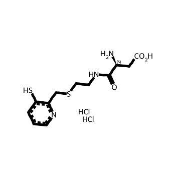 Cl.Cl.N[C@@H](CC(=O)O)C(=O)NCCSCc1ncccc1S